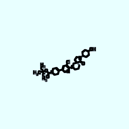 CC(C)(C)OC(=O)N1CC=C(c2cnc(N3CCC[C@@]4(CCN([C@H]5CC[C@H](O)CC5)C4=O)C3)c(Cl)c2)CC1